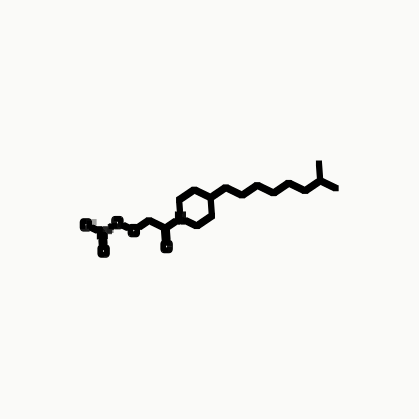 CC(C)CCCCCCC1CCN(C(=O)COO[N+](=O)[O-])CC1